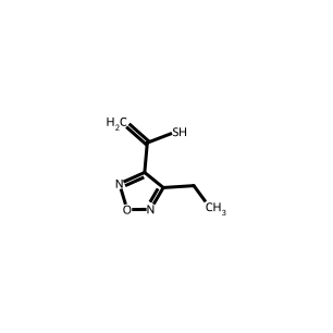 C=C(S)c1nonc1CC